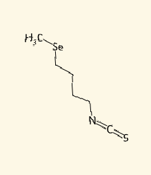 C[Se]CCCCN=C=S